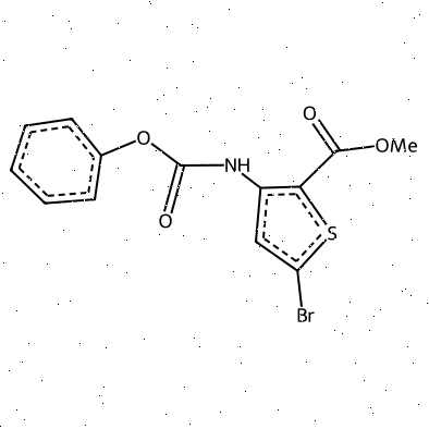 COC(=O)c1sc(Br)cc1NC(=O)Oc1ccccc1